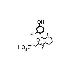 CCc1cc(O)ccc1CC1[C@H](N(C)C(=O)CCC(=O)O)CCCN1C